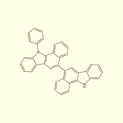 c1ccc(-n2c3ccccc3c3cc(-c4cc5c6ccccc6[nH]c5c5ccccc45)c4ccccc4c32)cc1